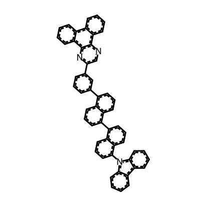 c1cc(-c2cnc3c4ccccc4c4ccccc4c3n2)cc(-c2cccc3c(-c4cccc5c(-n6c7ccccc7c7ccccc76)cccc45)cccc23)c1